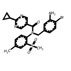 Cc1ccc(N(Cc2ccc(Br)c(N)c2)C(=O)c2cnc(C3CC3)nc2)c(S(C)(=O)=O)c1